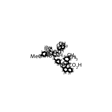 COc1ccc(S(=O)(=O)N(CC(C)C)C[C@@H](O)[C@H](Cc2ccc(NCc3ccc4ccccc4c3-c3sc4c(c3C(=O)O)CC(C)(C)CC4)cc2)NC(=O)O[C@H]2CO[C@@]3(C)OCC[C@@H]23)cc1